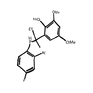 CCC(C)(Pc1ccc(F)cc1C(C)=O)c1cc(OC)cc(OC)c1O